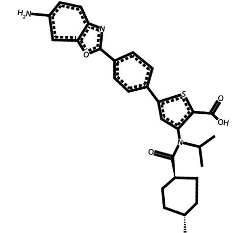 CC(C)N(c1cc(-c2ccc(-c3nc4ccc(N)cc4o3)cc2)sc1C(=O)O)C(=O)[C@H]1CC[C@H](C)CC1